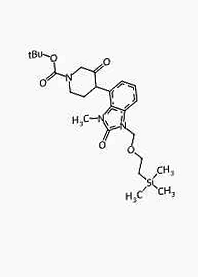 Cn1c(=O)n(COCC[Si](C)(C)C)c2cccc(C3CCN(C(=O)OC(C)(C)C)CC3=O)c21